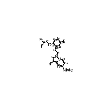 CNC1=NC2=C(I)CN(CCc3cc(F)ccc3OCC(F)F)N2C=C1